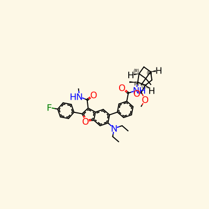 CCN(CC)c1cc2oc(-c3ccc(F)cc3)c(C(=O)NC)c2cc1-c1cccc(C(=O)N[C@@]2(C)[C@@H](C(=O)OC)C[C@H]3C[C@@H]2C3(C)C)c1